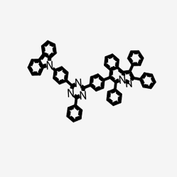 c1ccc(-c2nc(-c3ccc(-c4c(-c5ccccc5)n5nc(-c6ccccc6)c(-c6ccccc6)c5c5ccccc45)cc3)nc(-c3ccc(-n4c5ccccc5c5ccccc54)cc3)n2)cc1